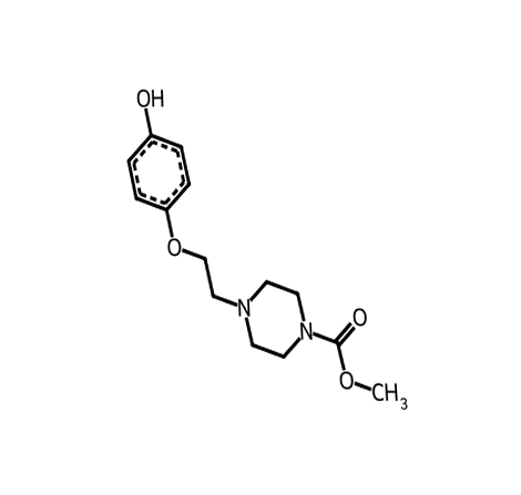 COC(=O)N1CCN(CCOc2ccc(O)cc2)CC1